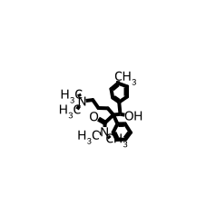 Cc1ccc(C(O)C(CCCN(C)C)(C(=O)N(C)C)c2ccccc2)cc1